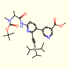 COC(=O)c1cncc(-c2ccc(NC(=O)C(C)N(C)C(=O)OC(C)(C)C)nc2C#C[Si](C(C)C)(C(C)C)C(C)C)c1